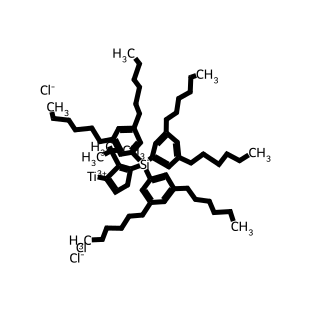 CCCCCCc1cc(CCCCCC)cc([Si](C2=C(C(C)(C)C)[C]([Ti+3])=CC2)(c2cc(CCCCCC)cc(CCCCCC)c2)c2cc(CCCCCC)cc(CCCCCC)c2)c1.[Cl-].[Cl-].[Cl-]